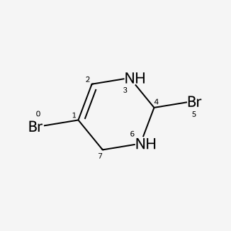 BrC1=CNC(Br)NC1